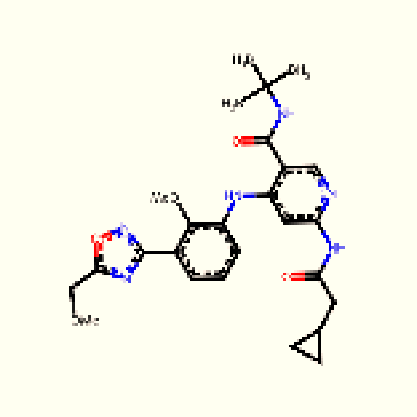 BC(B)(B)NC(=O)c1cnc(NC(=O)CC2CC2)cc1Nc1cccc(-c2noc(COC)n2)c1OC